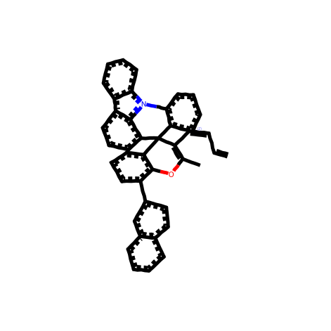 C=C/C=C\C1=C(C)Oc2c(-c3ccc4ccccc4c3)cccc2C12c1ccccc1-n1c3ccccc3c3cccc2c31